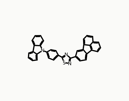 c1cc2c3c(cccc3c1)-c1cc(-c3nsc(-c4ccc(-n5c6ccccc6c6ccccc65)cc4)n3)ccc1-2